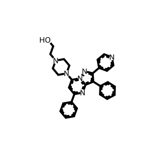 OCCN1CCN(c2cc(-c3ccccc3)nc3c(-c4ccccc4)c(-c4ccncc4)nn23)CC1